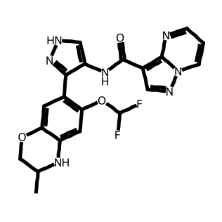 CC1COc2cc(-c3n[nH]cc3NC(=O)c3cnn4cccnc34)c(OC(F)F)cc2N1